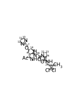 CC(=O)C(=N)c1cc(OCc2ncccn2)ccc1NCC(=O)N1CCC[C@H]1C(=O)NCC1C(C)C1(Cl)Cl